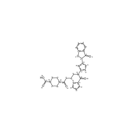 O=C1c2ccccc2OC1c1csc(N(CCCC(=O)N2CCN(C(=O)O)CC2)C(=O)c2cccs2)n1